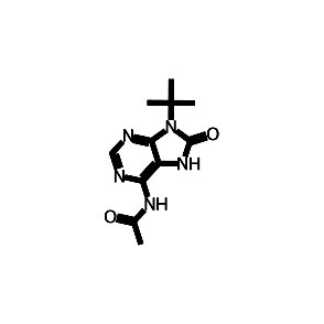 CC(=O)Nc1ncnc2c1[nH]c(=O)n2C(C)(C)C